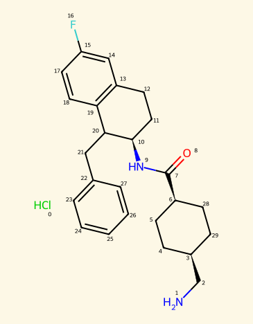 Cl.NC[C@H]1CC[C@@H](C(=O)N[C@@H]2CCc3cc(F)ccc3C2Cc2ccccc2)CC1